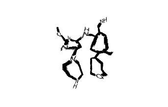 COc1nc(Nc2cc(C3CCOCC3)c(C)cc2C=N)cc(N2CCNCC2)n1